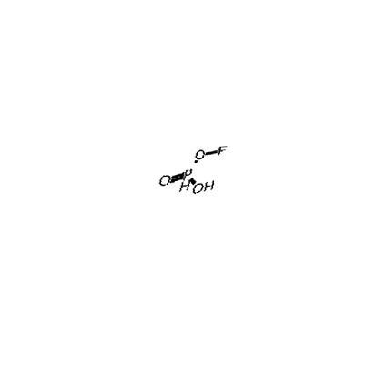 O=[PH](O)OF